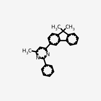 Cc1cc(-c2ccc3c(c2)-c2ccccc2C3(C)C)nc(-c2ccccc2)n1